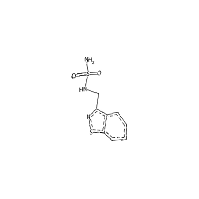 NS(=O)(=O)NCc1nsc2ccccc12